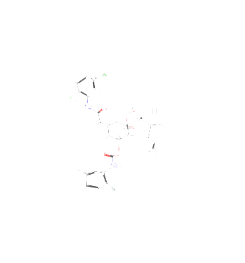 C=CCC(CC)C1(C)OOC2(C[C@H](CC(=O)Nc3cc(Cl)ccc3Cl)C[C@H](OC(=O)Nc3cc(Cl)ccc3Cl)C2)O1